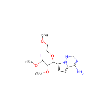 CCCCOCCO[C@@H](c1ccc2c(N)ncnn12)[C@H](OCCCC)[C@@H](I)OCCCC